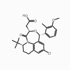 COc1cccc([C@H]2O[C@H](CC(=O)O)C(=O)N3c4c(cc(Cl)cc42)CC[C@H]3C(C)(C)C)c1C